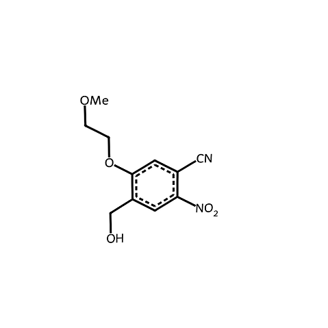 COCCOc1cc(C#N)c([N+](=O)[O-])cc1CO